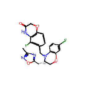 Cc1noc(C[C@H]2COc3cc(F)ccc3N2Cc2ccc3c(c2F)NC(=O)CO3)n1